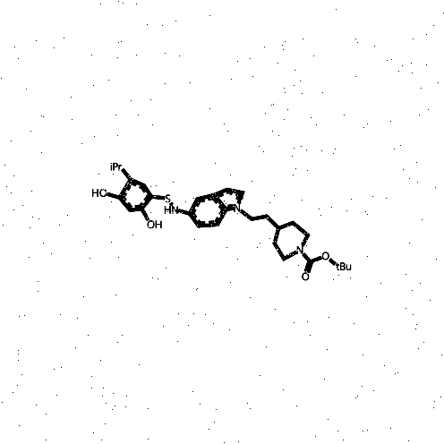 CC(C)c1cc(SNc2ccc3c(ccn3CCC3CCN(C(=O)OC(C)(C)C)CC3)c2)c(O)cc1O